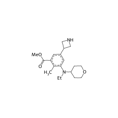 CCN(c1cc(C2CNC2)cc(C(=O)OC)c1C)C1CCOCC1